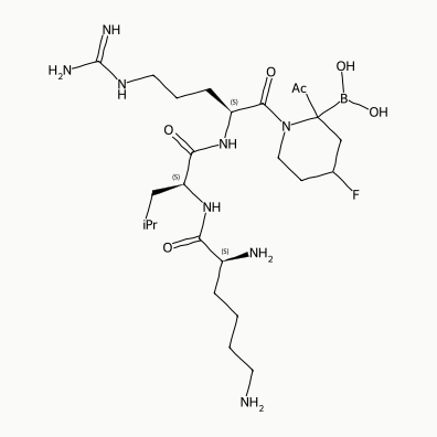 CC(=O)C1(B(O)O)CC(F)CCN1C(=O)[C@H](CCCNC(=N)N)NC(=O)[C@H](CC(C)C)NC(=O)[C@@H](N)CCCCN